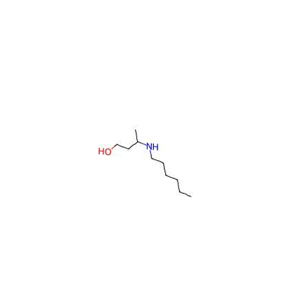 CCCCCCNC(C)CCO